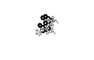 CC(C)CC(NC(=O)C(c1ccccc1)C1C=CC=CC1)C(=O)NC(C)C(=O)C(=O)NCC(=O)NC(Cc1ccc2ccccc2c1)C(N)=O